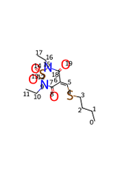 CCCCSC=C1C(=O)N(CC)S(=O)(=O)N(CC)C1=O